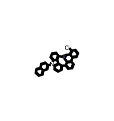 Clc1cccc2c1/C1=C\c3cccc4c3c3c(cccc3n4-c3ccc4ccccc4c3)-c3cccc-2c3C1